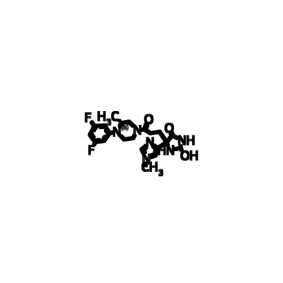 C[C@H]1CN(C(=O)CCC2(c3cn(C)cn3)NC(O)NC2=O)CCN1c1cc(F)cc(F)c1